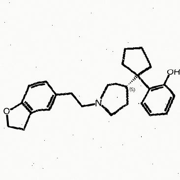 Oc1ccc[c]c1C1([C@@H]2CCN(CCc3ccc4c(c3)CCO4)C2)CCCC1